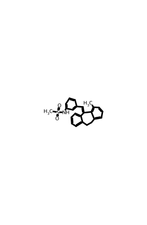 Cc1cccc2c1/C(=C/c1cccc(NS(C)(=O)=O)c1)c1ccccc1CC2